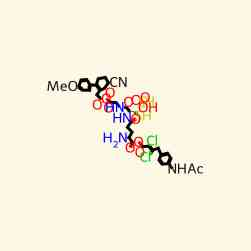 COc1ccc(C2=C(CC(=O)OC(=O)CNC(=O)[C@H](CS)NC(=O)CC[C@H](N)C(=O)OC(=O)C(Cl)=C(Cl)Cc3ccc(NC(C)=O)cc3)C(=O)C(C#N)CC2)cc1.O=[SH](=O)O